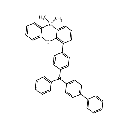 C[Si]1(C)c2ccccc2Oc2c(-c3ccc(N(c4ccccc4)c4ccc(-c5ccccc5)cc4)cc3)cccc21